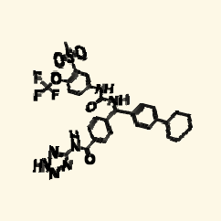 CS(=O)(=O)c1cc(NC(=O)NC(c2ccc(C(=O)Nc3nn[nH]n3)cc2)c2ccc(C3=CCCCC3)cc2)ccc1OC(F)(F)F